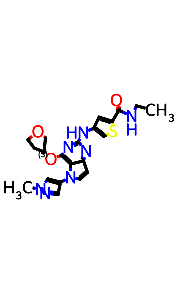 CCNC(=O)c1cc(Nc2nc(O[C@H]3CCOC3)c3c(ccn3-c3cnn(C)c3)n2)cs1